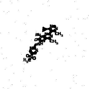 CC[C@@H](C)n1c(=O)c(NCc2ncc(S(C)(=O)=O)cn2)nc2c(C)nc(-c3c(C)ncnc3C3CC3)nc21